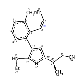 CCC/C=C\c1c(C)ncnc1-c1cn([C@H](C)CC#N)nc1NCC